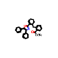 COC(=O)c1ccccc1CC1CCCC=C1c1nc(-c2ccccc2)c(-c2ccccc2)o1